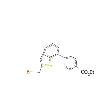 CCOC(=O)c1ccc(-c2cccc3cc(CBr)sc23)cc1